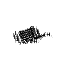 CC(O)CCCO.CCCCCCCCCC.CCCCCCCCCC.CCCCCCCCCC.CCCCCCCCCC.CCCCCCCCCC.CCCCCCCCCC